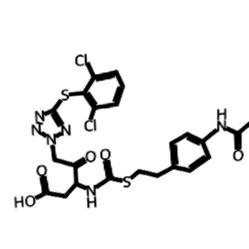 CC(=O)Nc1ccc(CCSC(=O)NC(CC(=O)O)C(=O)Cn2nnc(Sc3c(Cl)cccc3Cl)n2)cc1